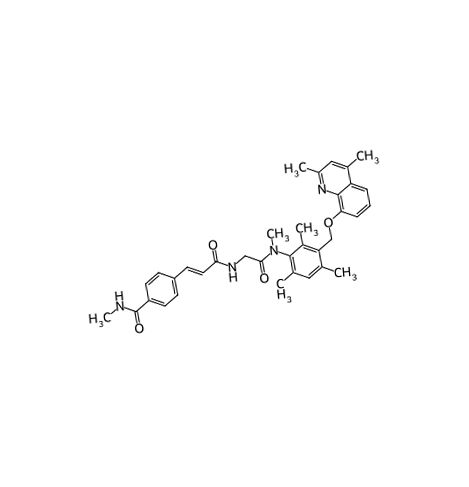 CNC(=O)c1ccc(C=CC(=O)NCC(=O)N(C)c2c(C)cc(C)c(COc3cccc4c(C)cc(C)nc34)c2C)cc1